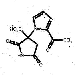 O=C1CC(C(=O)O)(n2cccc2C(=O)C(Cl)(Cl)Cl)C(=O)N1